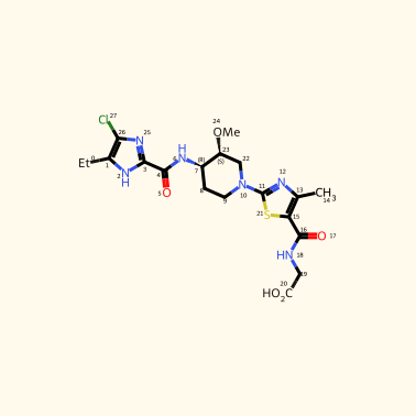 CCc1[nH]c(C(=O)N[C@@H]2CCN(c3nc(C)c(C(=O)NCC(=O)O)s3)C[C@@H]2OC)nc1Cl